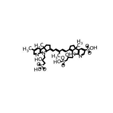 CC(/C=C/C1=C2N(CC(O)CS(=O)(=O)O)c3ncc(S(=O)(=O)O)cc3C2(C)CC1)=C\C=C1/CCC2(C)C1=[N+](CC(O)CS(=O)(=O)O)c1ncc(C)cc12